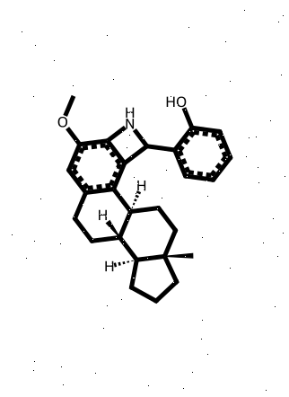 COc1cc2c(c3c1NC3c1ccccc1O)[C@H]1CC[C@]3(C)CCC[C@H]3[C@@H]1CC2